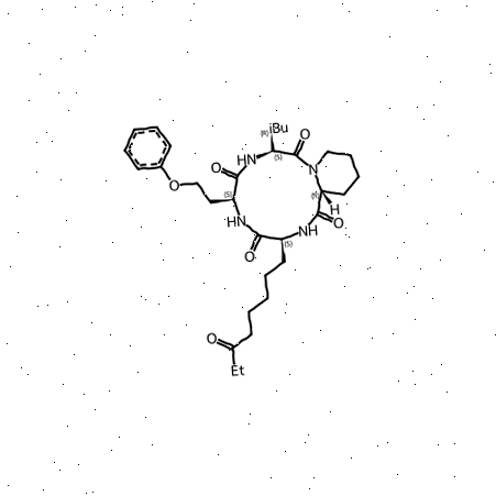 CCC(=O)CCCCC[C@@H]1NC(=O)[C@H]2CCCCN2C(=O)[C@H]([C@H](C)CC)NC(=O)[C@H](CCOc2ccccc2)NC1=O